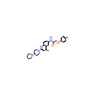 Cc1ccc(OCC(=O)Nc2ccc3nc(N4CCC(N5CCCC5)CC4)cc(C)c3c2)cc1